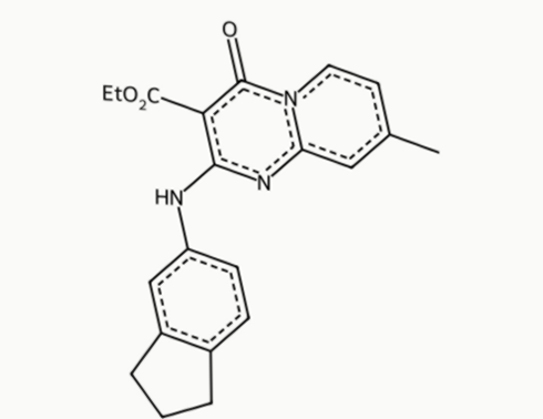 CCOC(=O)c1c(Nc2ccc3c(c2)CCC3)nc2cc(C)ccn2c1=O